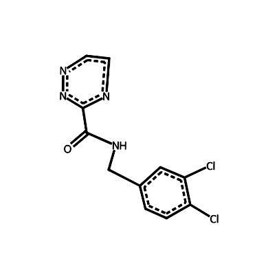 O=C(NCc1ccc(Cl)c(Cl)c1)c1nccnn1